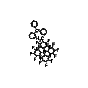 Cc1c(F)c(F)c([B-](c2c(F)c(F)c(F)c(F)c2F)(c2c(F)c(F)c(F)c(F)c2F)c2c(F)c(F)c(F)c(F)c2F)c(F)c1F.c1ccc([C+](c2ccccc2)c2ccccc2)cc1